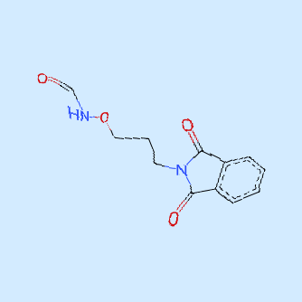 O=CNOCCCN1C(=O)c2ccccc2C1=O